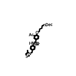 Br.CCCCCCCCCCCCCCOc1ccc(C(=O)Nc2ccc(CN3CSC=C3C)cc2)cc1C(C)=O